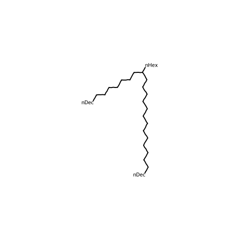 [CH2]CCCCCC(CCCCCCCCCCCCCCCCC)CCCCCCCCCCCCCCCCCCCCCCC